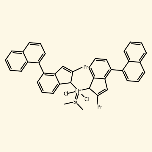 CC(C)C1=Cc2c(-c3cccc4ccccc34)cccc2[CH]1[Hf]([Cl])([Cl])([CH]1C(C(C)C)=Cc2c(-c3cccc4ccccc34)cccc21)=[Si](C)C